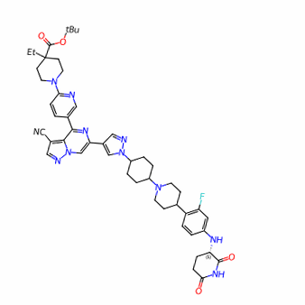 CCC1(C(=O)OC(C)(C)C)CCN(c2ccc(-c3nc(-c4cnn(C5CCC(N6CCC(c7ccc(N[C@H]8CCC(=O)NC8=O)cc7F)CC6)CC5)c4)cn4ncc(C#N)c34)cn2)CC1